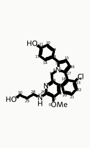 COc1ccc(Cn2c(-c3ccc(O)cc3)ccc2-c2ccccc2Cl)nc1NCCCO